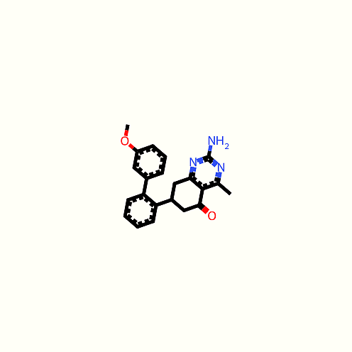 COc1cccc(-c2ccccc2C2CC(=O)c3c(C)nc(N)nc3C2)c1